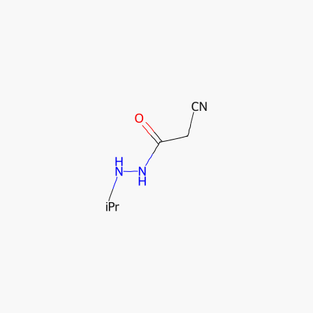 CC(C)NNC(=O)CC#N